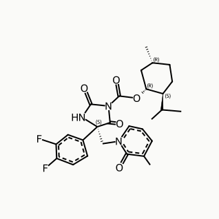 Cc1cccn(C[C@]2(c3ccc(F)c(F)c3)NC(=O)N(C(=O)O[C@@H]3C[C@H](C)CC[C@H]3C(C)C)C2=O)c1=O